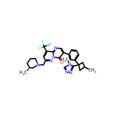 CC1CC(c2cccc(-c3cnc4c(C(F)(F)F)cc(CN5CCC[C@H](C)C5)nn4c3=O)c2)(c2nncn2C)C1